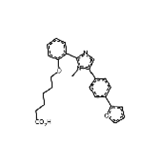 Cn1c(-c2ccc(-c3ccco3)cc2)cnc1-c1ccccc1OCCCCCC(=O)O